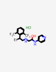 CCC(CNCC(O)Nc1ccncc1)c1c(C(F)(F)F)cccc1C(F)(F)F.Cl